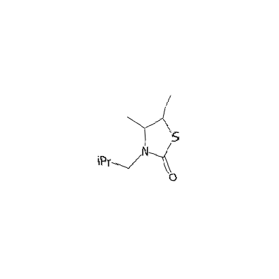 CC(C)CN1C(=O)SC(C)C1C